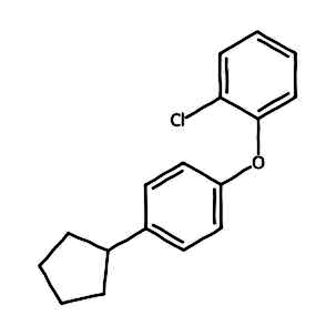 Clc1ccccc1Oc1ccc(C2CCCC2)cc1